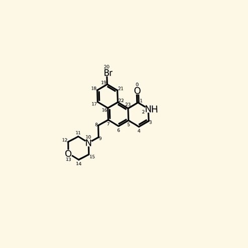 O=c1[nH]ccc2cc(CCN3CCOCC3)c3ccc(Br)cc3c12